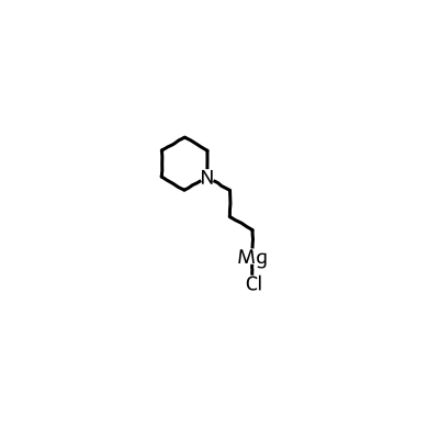 [Cl][Mg][CH2]CCN1CCCCC1